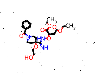 CCOC(=O)C=C(ONC(=N)C1(OCCO)CCN(C(=O)c2ccccc2)CC1)C(=O)OCC